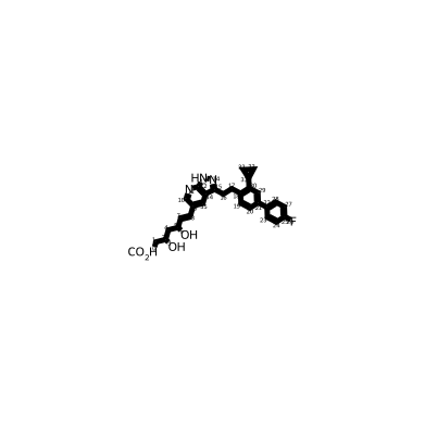 O=C(O)CC(O)CC(O)/C=C/c1cnc2[nH]nc(CCc3ccc(-c4ccc(F)cc4)cc3C3CC3)c2c1